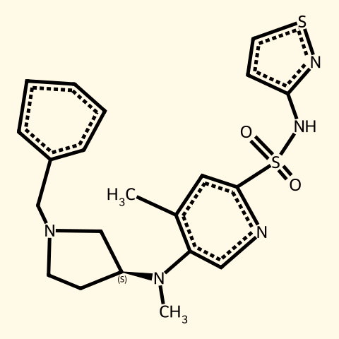 Cc1cc(S(=O)(=O)Nc2ccsn2)ncc1N(C)[C@H]1CCN(Cc2ccccc2)C1